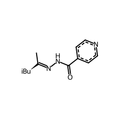 CC[C@H](C)/C(C)=N/NC(=O)c1ccncc1